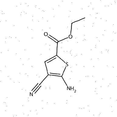 CCOC(=O)c1cc(C#N)c(N)s1